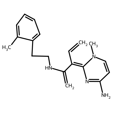 C=C/C(C(=C)NCCc1ccccc1C)=C1/N=C(N)C=CN1C